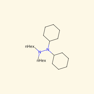 CCCCCCN(CCCCCC)N(C1CCCCC1)C1CCCCC1